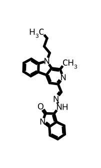 CCCCn1c2ccccc2c2cc(C=NNC3=c4ccccc4=NC3=O)nc(C)c21